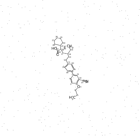 CCCOc1ccc(-c2ccc(CCC(CC)C[C@@](F)(C(=O)O)C3CCCCC3)cc2)cc1C#N